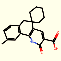 Cc1ccc2c(c1)-c1[nH]c(=O)c(C(=O)O)cc1C1(CCCCC1)C2